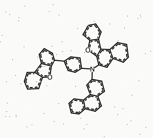 c1ccc2c(c1)ccc1ccc(N(c3ccc(-c4cccc5c4oc4ccccc45)cc3)c3cc4ccccc4c4c3oc3ccccc34)cc12